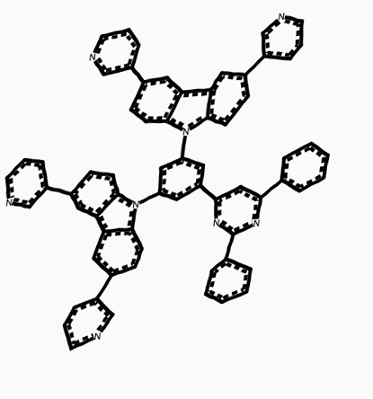 c1ccc(-c2cc(-c3cc(-n4c5ccc(-c6cccnc6)cc5c5cc(-c6cccnc6)ccc54)cc(-n4c5ccc(-c6cccnc6)cc5c5cc(-c6cccnc6)ccc54)c3)nc(-c3ccccc3)n2)cc1